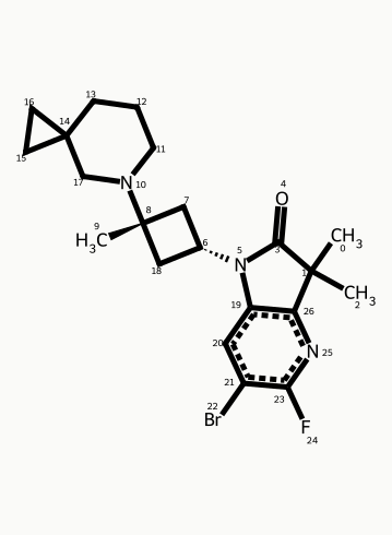 CC1(C)C(=O)N([C@H]2C[C@@](C)(N3CCCC4(CC4)C3)C2)c2cc(Br)c(F)nc21